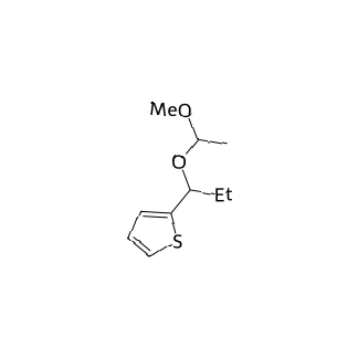 CCC(OC(C)OC)c1cccs1